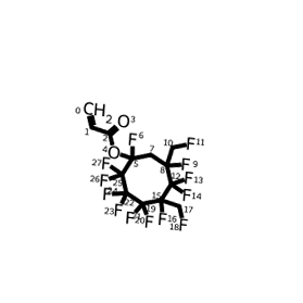 C=CC(=O)OC1(F)CC(F)(CF)C(F)(F)C(F)(CF)C(F)(F)C(F)(F)C1(F)F